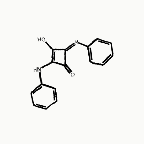 O=c1c(Nc2ccccc2)c(O)/c1=N/c1ccccc1